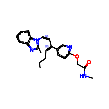 CCC/C=C(/C=C\n1c(C)nc2ccccc21)c1ccc(OCC(=O)NC)nc1